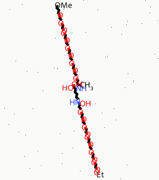 CCOOCCOOCCOCCOCCOOCCOCCOCCOCCC(O)NCCCCC(NC(C)CCOCCOCCOCCOCCOCCOCCOOCCOCCOCCCOC)C(O)O